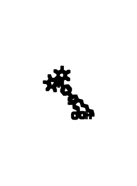 CCCCCCc1cc(-c2ccc(-n3c4c(c5c(C)c(C)c(C)c(C)c53)C(C)C(C)C(C)=C4C)cc2)sc1/C=C/C(=O)O